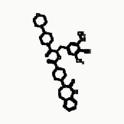 CBc1cc(C[C@@H](OC(=O)N2CCC(N3CCc4ccccc4NC3=O)CC2)C(=O)N2CCC(N3CCOCC3)CC2)cc(C)c1O